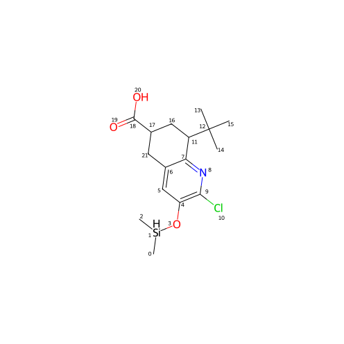 C[SiH](C)Oc1cc2c(nc1Cl)C(C(C)(C)C)CC(C(=O)O)C2